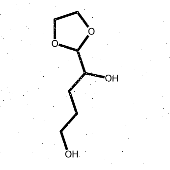 OCCCC(O)C1OCCO1